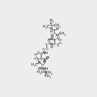 CN(CC(=O)NC(C)(C)C)c1cccc(NC/C=C/CNc2cccc(N(C)CC(=O)NC(C)(C)C)c2[N+](=O)[O-])c1[N+](=O)[O-]